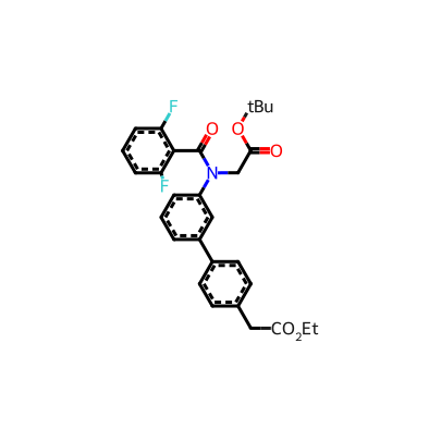 CCOC(=O)Cc1ccc(-c2cccc(N(CC(=O)OC(C)(C)C)C(=O)c3c(F)cccc3F)c2)cc1